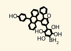 Bc1c(O)c(O)c(-c2cc(-c3c4ccccc4c(-c4ccc(O)cc4)c4ccccc34)c3c(c2)oc2ccccc23)c(O)c1O